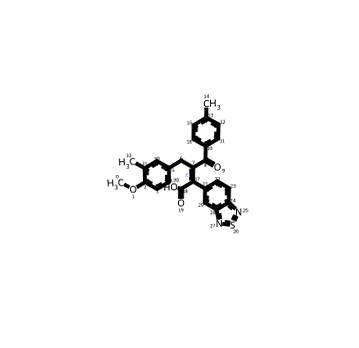 COc1ccc(C/C(C(=O)c2ccc(C)cc2)=C(\C(=O)O)c2ccc3nsnc3c2)cc1C